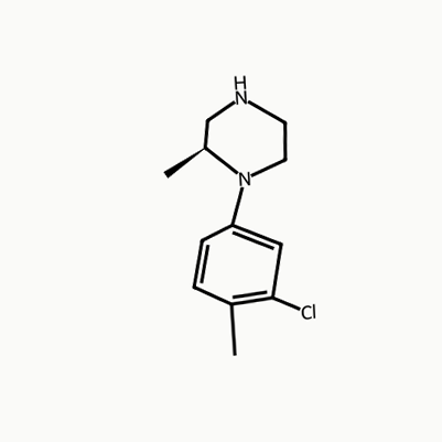 Cc1ccc(N2CCNC[C@@H]2C)cc1Cl